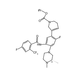 CC(C)OC(=O)N1CCC=C(c2cc(NC(=O)c3ccc(F)cc3C(F)(F)F)c(N3CCN(C)[C@@H](C)C3)cc2F)C1